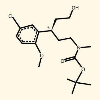 COc1ccc(Cl)cc1[C@@H](CCO)CCN(C)C(=O)OC(C)(C)C